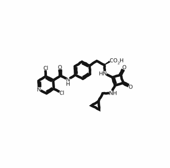 O=C(Nc1ccc(C[C@H](Nc2c(NCC3CC3)c(=O)c2=O)C(=O)O)cc1)c1c(Cl)cncc1Cl